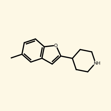 Cc1ccc2oc(C3CCNCC3)cc2c1